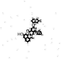 CCc1cccc2cc(O)cc(-n3ncc4c(N5CC6CC(C5)N6)nc(OC[C@]56CCCN5C[C@@H](F)C6)cc4c3=O)c12